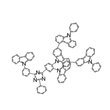 c1ccc(-c2nc(-c3cccc(-n4c5ccccc5c5ccccc54)c3)nc(-c3ccc(-n4c5ccc(-c6ccc7c(c6)c6ccccc6n7-c6ccccc6)cc5c5cc(-c6cccc7c6c6ccccc6n7-c6ccccc6)ccc54)c(-n4c5ccccc5c5ccccc54)c3)n2)cc1